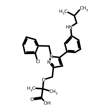 CC(C)CNc1cccc(-c2cc(COC(C)(C)C(=O)O)nn2Cc2ccccc2Cl)c1